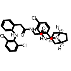 O=C(Cc1ccccc1Nc1c(Cl)cccc1Cl)NCC(=O)N[C@H]1C[C@H]2CC[C@@H](C1)N2Cc1ccc(Cl)cc1